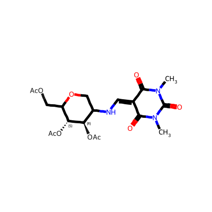 CC(=O)OCC1OCC(NC=C2C(=O)N(C)C(=O)N(C)C2=O)[C@@H](OC(C)=O)[C@@H]1OC(C)=O